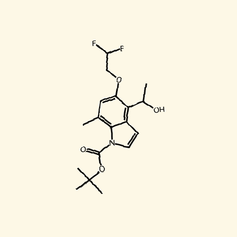 Cc1cc(OCC(F)F)c(C(C)O)c2ccn(C(=O)OC(C)(C)C)c12